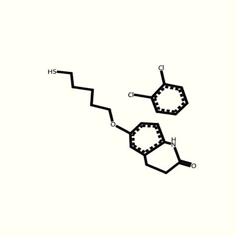 Clc1ccccc1Cl.O=C1CCc2cc(OCCCCCS)ccc2N1